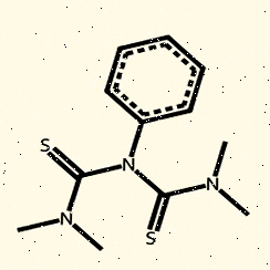 CN(C)C(=S)N(C(=S)N(C)C)c1ccccc1